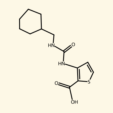 O=C(NCC1CCCCC1)Nc1ccsc1C(=O)O